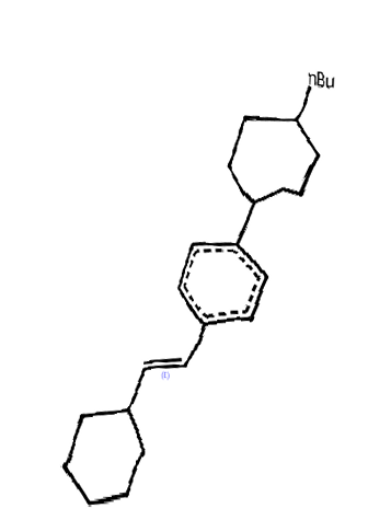 CCCCC1CCC(c2ccc(/C=C/C3CCCCC3)cc2)CC1